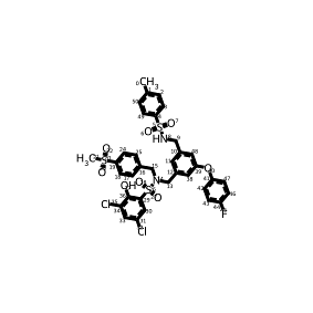 Cc1ccc(S(=O)(=O)NCc2cc(CN(Cc3ccc(S(C)(=O)=O)cc3)S(=O)(=O)c3cc(Cl)cc(Cl)c3O)cc(Oc3ccc(F)cc3)c2)cc1